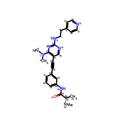 CCCN(C)c1nc(NCCc2ccncc2)ncc1C#Cc1cccc(NC(=O)[C@H](C)NC)c1